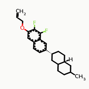 C=CCOc1cc2ccc([C@@H]3CC[C@@H]4CC(C)CCC4C3)cc2c(F)c1F